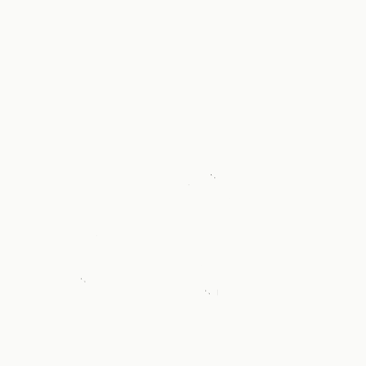 Nc1cc(Cc2ccncc2)c2c(c1)CN(CCc1ccccc1F)C2=O